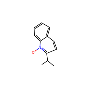 CC(C)c1ccc2ccccc2[n+]1[O-]